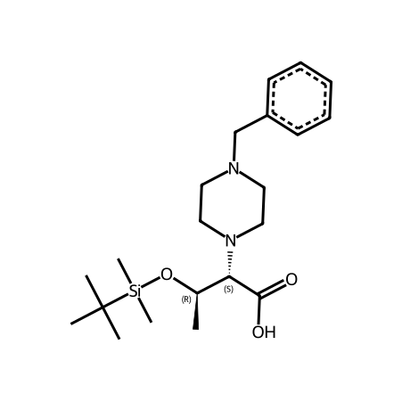 C[C@@H](O[Si](C)(C)C(C)(C)C)[C@@H](C(=O)O)N1CCN(Cc2ccccc2)CC1